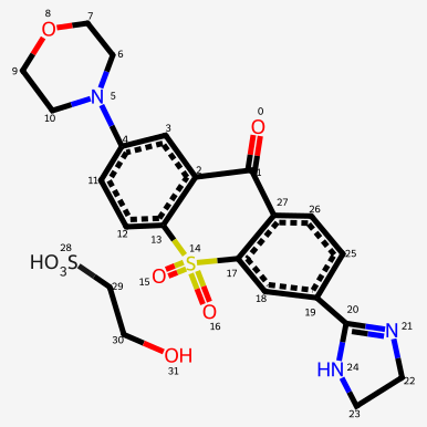 O=C1c2cc(N3CCOCC3)ccc2S(=O)(=O)c2cc(C3=NCCN3)ccc21.O=S(=O)(O)CCO